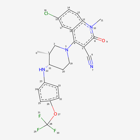 C[C@@H]1CN(c2c(C#N)c(=O)n(C)c3ccc(Cl)cc23)CC[C@@H]1Nc1ccc(OC(F)(F)F)cc1